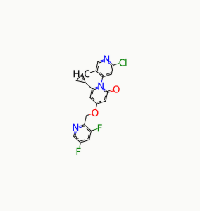 Cc1cnc(Cl)cc1-n1c(C2CC2)cc(OCc2ncc(F)cc2F)cc1=O